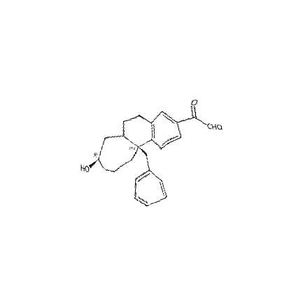 O=CC(=O)c1ccc2c(c1)CCC1C[C@H](O)CC[C@@]21Cc1ccccc1